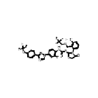 Cc1cccc(N2C(=O)CSC2=NC(=O)Nc2ccc(-n3cnc(-c4ccc(OC(F)(F)F)cc4)n3)cc2F)c1COCC(F)(F)F